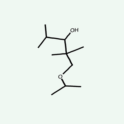 CC(C)OCC(C)(C)C(O)C(C)C